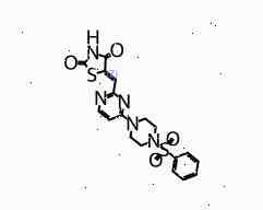 O=C1NC(=O)/C(=C/c2nccc(N3CCN(S(=O)(=O)c4ccccc4)CC3)n2)S1